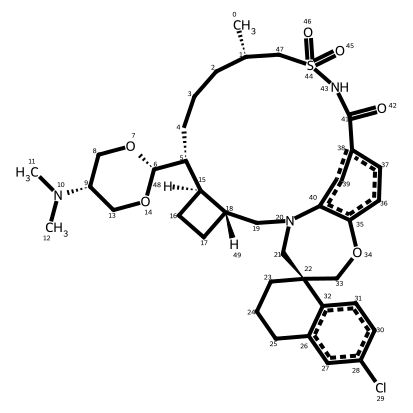 C[C@H]1CCC[C@@H]([C@H]2OC[C@@H](N(C)C)CO2)[C@@H]2CC[C@H]2CN2C[C@@]3(CCCc4cc(Cl)ccc43)COc3ccc(cc32)C(=O)NS(=O)(=O)C1